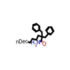 CCCCCCCCCCCCCCC(Cc1ccccc1)(Cc1ccccc1)C(N)=O